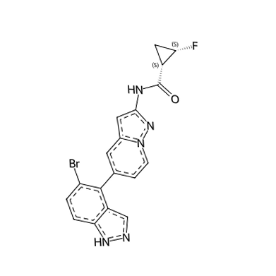 O=C(Nc1cc2cc(-c3c(Br)ccc4[nH]ncc34)ccn2n1)[C@@H]1C[C@@H]1F